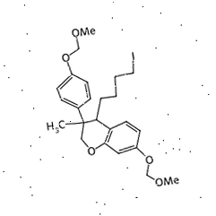 COCOc1ccc(C2(C)COc3cc(OCOC)ccc3C2CCCCI)cc1